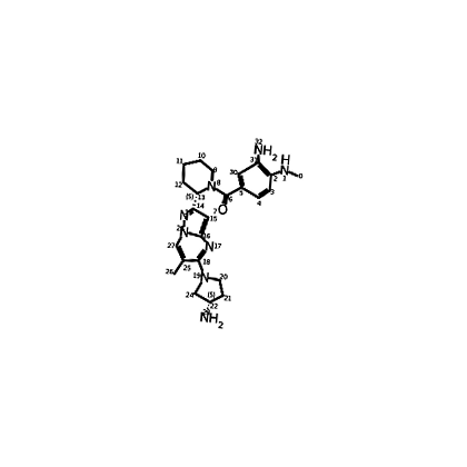 CNc1ccc(C(=O)N2CCCC[C@H]2c2cc3nc(N4CC[C@H](N)C4)c(C)cn3n2)cc1N